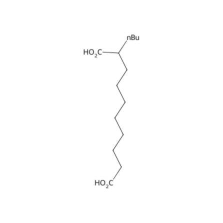 CCCCC(CCCCCCCC(=O)O)C(=O)O